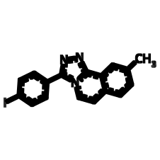 Cc1ccc2ccn3c(-c4ccc(I)cc4)nnc3c2c1